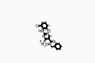 CN(Cc1ccccc1)C(=O)c1cnc(Nc2c(Cl)cccc2Cl)nc1C(F)(F)F